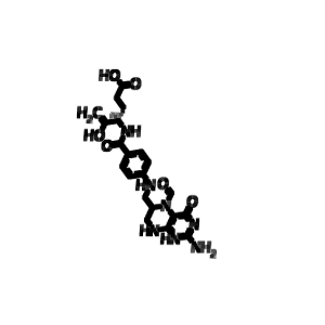 C=C(O)[C@H](CCC(=O)O)NC(=O)c1ccc(NCC2CNc3[nH]c(N)nc(=O)c3N2C=O)cc1